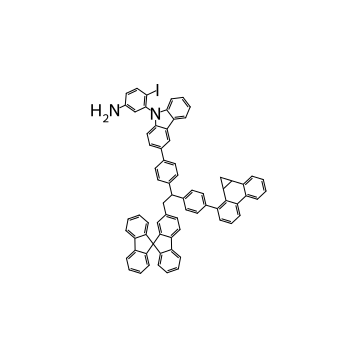 Nc1ccc(I)c(-n2c3ccccc3c3cc(-c4ccc(C(Cc5ccc6c(c5)C5(c7ccccc7-c7ccccc75)c5ccccc5-6)c5ccc(-c6cccc7c6C6CC6c6ccccc6-7)cc5)cc4)ccc32)c1